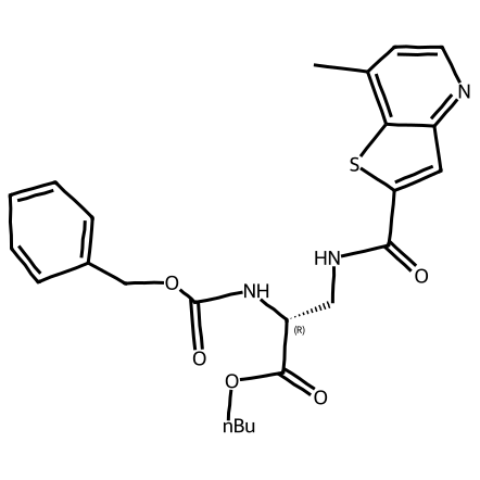 CCCCOC(=O)[C@@H](CNC(=O)c1cc2nccc(C)c2s1)NC(=O)OCc1ccccc1